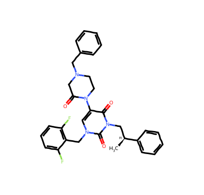 C[C@@H](Cn1c(=O)c(N2CCN(Cc3ccccc3)CC2=O)cn(Cc2c(F)cccc2F)c1=O)c1ccccc1